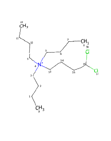 CCCC[N+](CCCC)(CCCC)CCCC(Cl)Cl